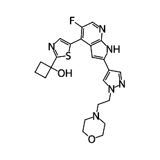 OC1(c2ncc(-c3c(F)cnc4[nH]c(-c5cnn(CCN6CCOCC6)c5)cc34)s2)CCC1